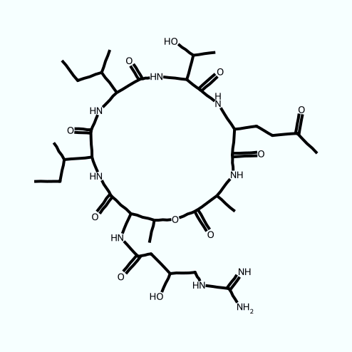 CCC(C)C1NC(=O)C(C(C)CC)NC(=O)C(NC(=O)CC(O)CNC(=N)N)C(C)OC(=O)C(C)NC(=O)C(CCC(C)=O)NC(=O)C(C(C)O)NC1=O